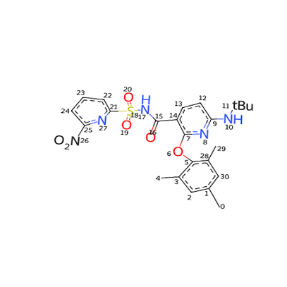 Cc1cc(C)c(Oc2nc(NC(C)(C)C)ccc2C(=O)NS(=O)(=O)c2cccc([N+](=O)[O-])n2)c(C)c1